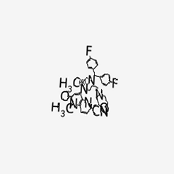 C[C@H]1CN(C(c2ccc(F)cc2)c2ccc(F)cc2)C(CN2CCOCC2)CN1c1cc(=O)n(C)c2ccc(C#N)nc12